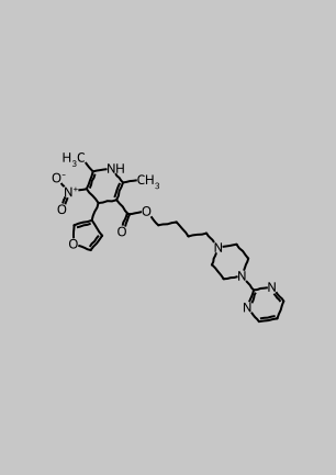 CC1=C(C(=O)OCCCCN2CCN(c3ncccn3)CC2)C(c2ccoc2)C([N+](=O)[O-])=C(C)N1